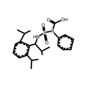 CC(C)c1cccc(C(C)C)c1C(NS(=O)(=O)N(C(=O)O)c1ccccc1)C(C)C